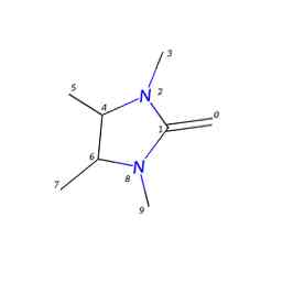 C=C1N(C)C(C)C(C)N1C